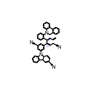 C=C/C=C(\C(=C/CC#N)c1cc(C#N)cc(N2c3ccccc3C3C=C(C#N)C=CC32)c1)c1ccccc1N1Cc2ccccc2-c2ccccc21